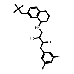 CC(C)(C)Cc1ccc2c(c1)C(NCC(O)C(O)Cc1cc(F)cc(F)c1)CCC2